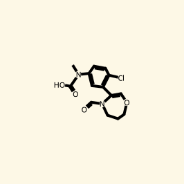 CN(C(=O)O)c1ccc(Cl)c(C2=COCCCN2C=O)c1